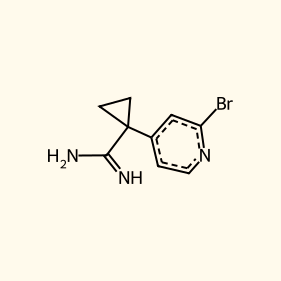 N=C(N)C1(c2ccnc(Br)c2)CC1